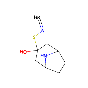 B=NSC1(O)CC2CCC(C1)N2